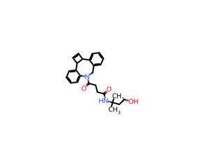 CC(C)(CCO)NC(=O)CCC(=O)N1Cc2ccccc2C2C=CC2c2ccccc21